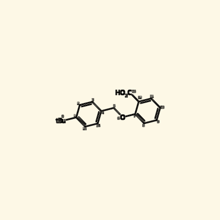 CC(C)(C)c1ccc(COc2ccccc2C(=O)O)cc1